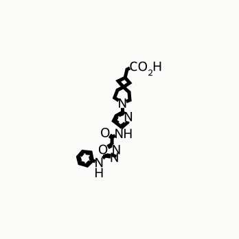 O=C(O)CC1CC2(CCN(c3ccc(NC(=O)c4nnc(Nc5ccccc5)o4)cn3)CC2)C1